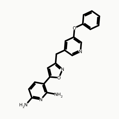 Nc1ccc(-c2cc(Cc3cncc(Oc4ccccc4)c3)no2)c(N)n1